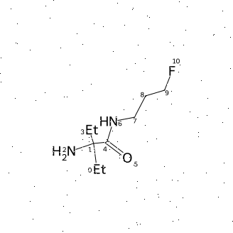 CCC(N)(CC)C(=O)NCCCF